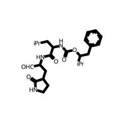 CC(C)CC(NC(=O)OC(Cc1ccccc1)C(C)C)C(=O)NC(C=O)CC1CCNC1=O